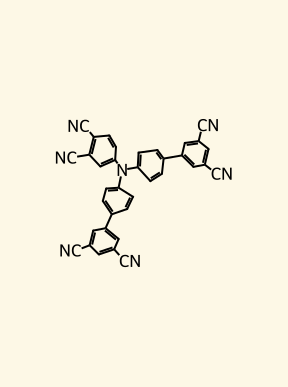 N#Cc1cc(C#N)cc(-c2ccc(N(c3ccc(-c4cc(C#N)cc(C#N)c4)cc3)c3ccc(C#N)c(C#N)c3)cc2)c1